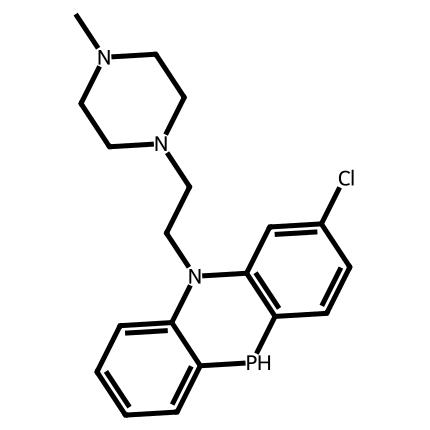 CN1CCN(CCN2c3ccccc3Pc3ccc(Cl)cc32)CC1